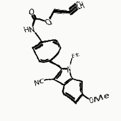 C#CCOC(=O)Nc1ccc(-c2c(C#N)c3ccc(OC)cc3n2CC)cc1